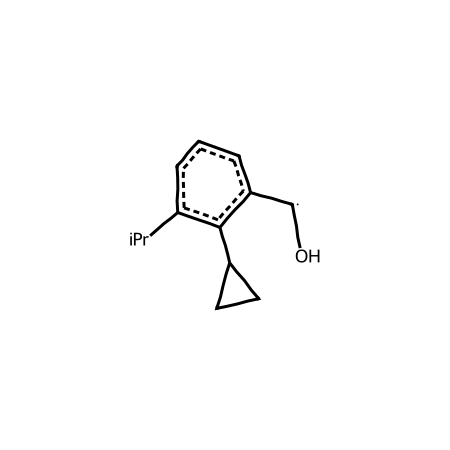 CC(C)c1cccc([CH]O)c1C1CC1